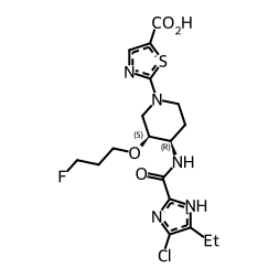 CCc1[nH]c(C(=O)N[C@@H]2CCN(c3ncc(C(=O)O)s3)C[C@@H]2OCCCF)nc1Cl